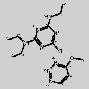 CCNc1nc(Cl)nc(N(CC)CC)n1.COc1ccnnn1